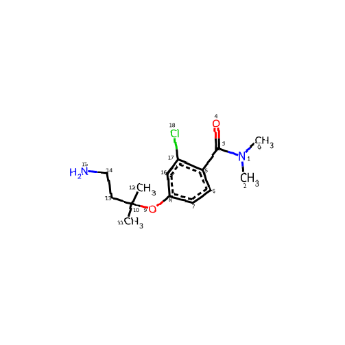 CN(C)C(=O)c1ccc(OC(C)(C)CCN)cc1Cl